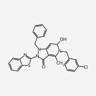 CC1=c2c(n(Cc3ccccc3)n(-c3nc4ccccc4s3)c2=O)=CC(O)N1Cc1cccc(Cl)c1